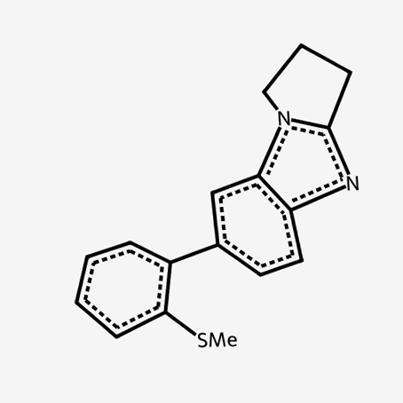 CSc1ccccc1-c1ccc2nc3n(c2c1)CCC3